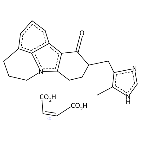 Cc1[nH]cnc1CC1CCc2c(c3cccc4c3n2CCC4)C1=O.O=C(O)/C=C\C(=O)O